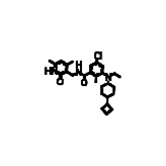 CCN(c1cc(Cl)cc(C(=O)NCc2c(C)cc(C)[nH]c2=O)c1C)[C@H]1CC[C@H](C2CCC2)CC1